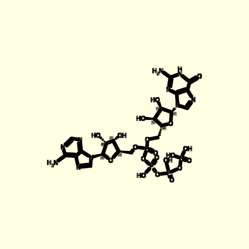 Nc1nc2c(ncn2[C@@H]2O[C@H](COP(=O)(OC[C@H]3O[C@@H](n4cnc5c(N)ncnc54)[C@H](O)[C@@H]3O)OP(=O)(O)OP(=O)(O)OP(=O)(O)O)[C@@H](O)[C@H]2O)c(=O)[nH]1